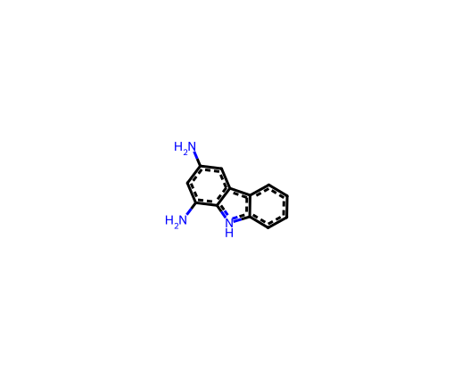 Nc1cc(N)c2[nH]c3ccccc3c2c1